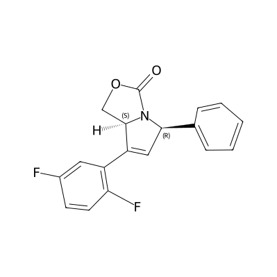 O=C1OC[C@@H]2C(c3cc(F)ccc3F)=C[C@H](c3ccccc3)N12